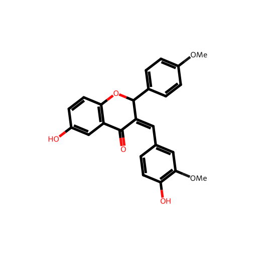 COc1ccc(C2Oc3ccc(O)cc3C(=O)C2=Cc2ccc(O)c(OC)c2)cc1